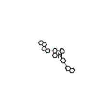 c1ccc(N(c2ccc(-c3ccc4ccccc4c3)cc2)c2ccccc2-c2ccc(-c3ccc4ccc5c6ccccc6ccc5c4c3)cc2)cc1